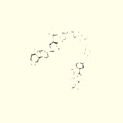 Cn1c2ccncc2c2ccc(-c3cnc(N4CC(OC5CCN(CC(F)(F)COC6CC(Oc7ccc8c(c7)C(=O)N(C7CCC(=O)NC7=O)C8=O)C6)CC5)C4)c(C(F)(F)F)c3)cc21